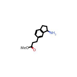 COC(=O)CCc1ccc2c(c1)C(N)CC2